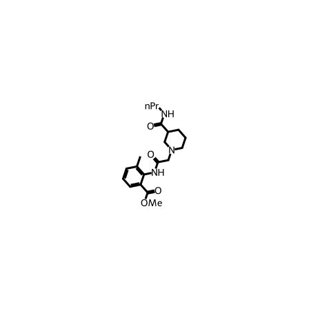 CCCNC(=O)C1CCCN(CC(=O)Nc2c(C)cccc2C(=O)OC)C1